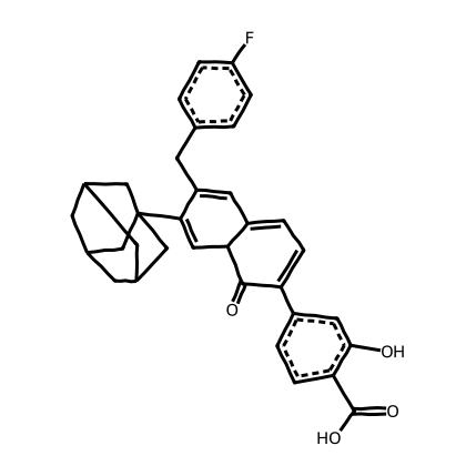 O=C(O)c1ccc(C2=CC=C3C=C(Cc4ccc(F)cc4)C(C45CC6CC(CC(C6)C4)C5)=CC3C2=O)cc1O